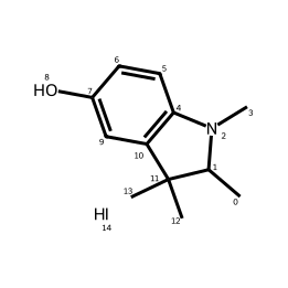 CC1N(C)c2ccc(O)cc2C1(C)C.I